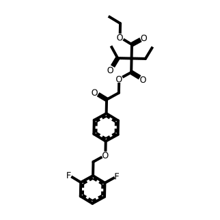 CCOC(=O)C(CC)(C(C)=O)C(=O)OCC(=O)c1ccc(OCc2c(F)cccc2F)cc1